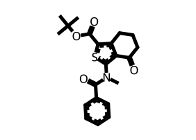 CN(C(=O)c1ccccc1)c1sc(C(=O)OC(C)(C)C)c2c1C(=O)CCC2